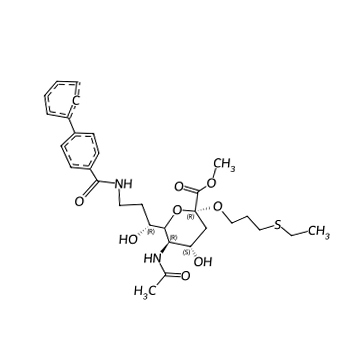 CCSCCCO[C@]1(C(=O)OC)C[C@H](O)[C@@H](NC(C)=O)C([C@H](O)CCNC(=O)c2ccc(-c3ccccc3)cc2)O1